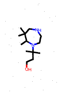 CC1N(C(C)(C)CCO)CCNCC1(C)C